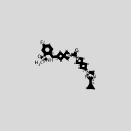 CS(=N)(=O)c1cc(F)ccc1CC1CC2(C1)CN(C(=O)N1CC3(CC(n4cnc(C5CC5)n4)C3)C1)C2